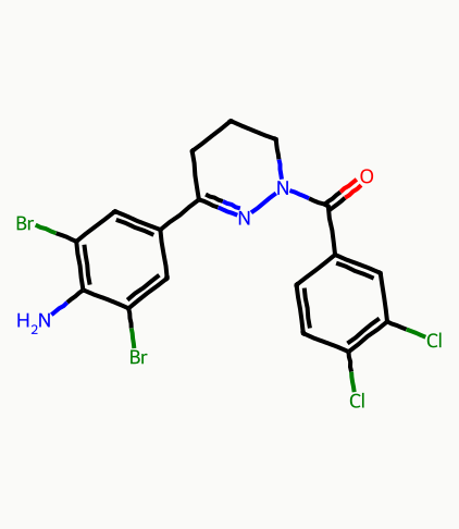 Nc1c(Br)cc(C2=NN(C(=O)c3ccc(Cl)c(Cl)c3)CCC2)cc1Br